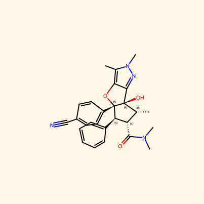 Cc1c2c(nn1C)[C@]1(O)[C@H](C)[C@H](C(=O)N(C)C)[C@@H](c3ccccc3)[C@]1(c1ccc(C#N)cc1)O2